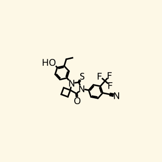 CCc1cc(N2C(=S)N(c3ccc(C#N)c(C(F)(F)F)c3)C(=O)C23CCC3)ccc1O